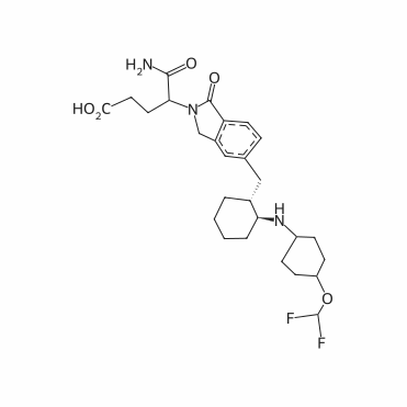 NC(=O)C(CCC(=O)O)N1Cc2cc(C[C@H]3CCCC[C@@H]3NC3CCC(OC(F)F)CC3)ccc2C1=O